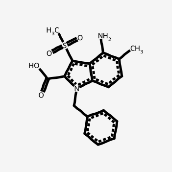 Cc1ccc2c(c1N)c(S(C)(=O)=O)c(C(=O)O)n2Cc1ccccc1